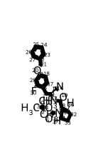 CC(C)(C)OC(=O)N1C(C(=O)N[C@H](C#N)Cc2ccc(OCc3ccccc3)cc2F)[C@H]2CC[C@@H]1C2